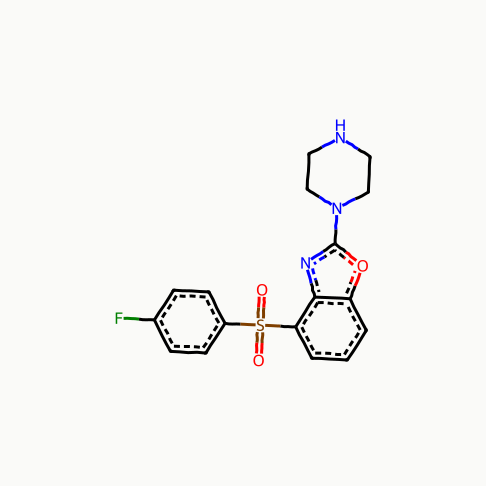 O=S(=O)(c1ccc(F)cc1)c1cccc2oc(N3CCNCC3)nc12